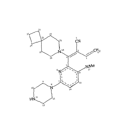 C=C/C(C#N)=C(\c1nc(N2CCNCC2)ccc1NC)N1CCC2(CCC2)CC1